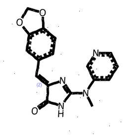 CN(C1=N/C(=C\c2ccc3c(c2)OCO3)C(=O)N1)c1cccnc1